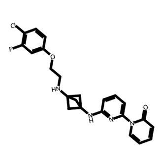 O=c1ccccn1-c1cccc(NC23CC(NCCOc4ccc(Cl)c(F)c4)(C2)C3)n1